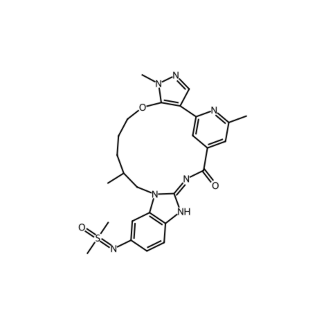 Cc1cc2cc(n1)-c1cnn(C)c1OCCCC(C)CN1/C(=N/C2=O)Nc2ccc(N=S(C)(C)=O)cc21